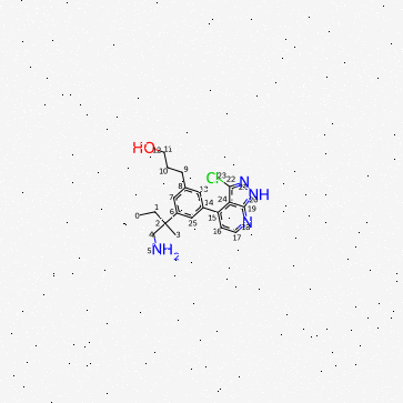 CCC(C)(CN)c1cc(CCCO)cc(-c2ccnc3[nH]nc(Cl)c23)c1